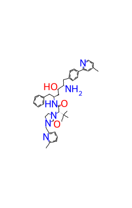 Cc1ccnc(-c2ccc(C[C@H](N)[C@@H](O)C[C@H](Cc3ccccc3)NC(=O)[C@@H](N3CCN(Cc4cccc(C)n4)C3=O)C(C)(C)C)cc2)c1